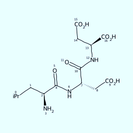 CC(C)C[C@H](N)C(=O)N[C@@H](CC(=O)O)C(=O)N[C@@H](CC(=O)O)C(=O)O